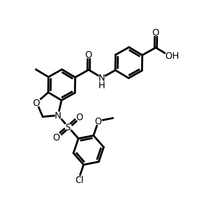 COc1ccc(Cl)cc1S(=O)(=O)N1COc2c(C)cc(C(=O)Nc3ccc(C(=O)O)cc3)cc21